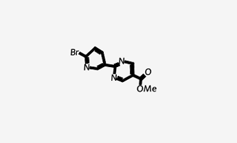 COC(=O)c1cnc(-c2ccc(Br)nc2)nc1